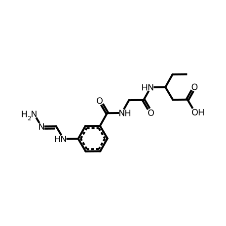 CCC(CC(=O)O)NC(=O)CNC(=O)c1cccc(NC=NN)c1